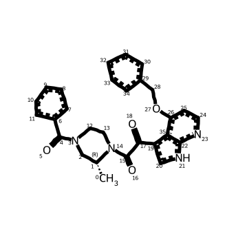 C[C@@H]1CN(C(=O)c2ccccc2)CCN1C(=O)C(=O)c1c[nH]c2nccc(OCc3ccccc3)c12